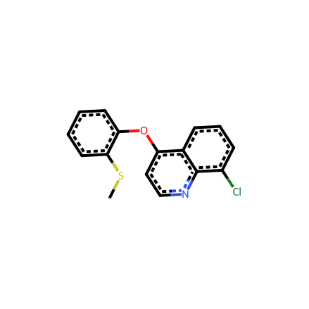 CSc1ccccc1Oc1ccnc2c(Cl)cccc12